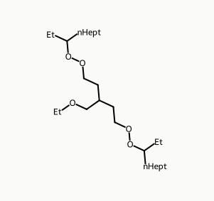 CCCCCCCC(CC)OOCCC(CCOOC(CC)CCCCCCC)COCC